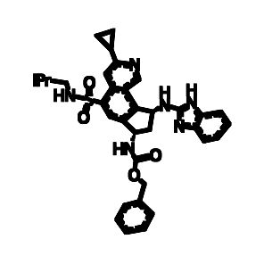 CC(C)CNS(=O)(=O)c1cc2c(c3cnc(C4CC4)cc13)[C@@H](Nc1nc3ccccc3[nH]1)C[C@@H]2NC(=O)OCc1ccccc1